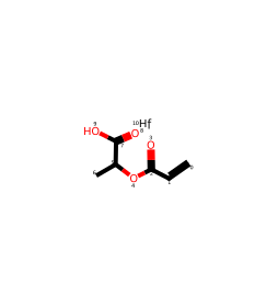 C=CC(=O)OC(C)C(=O)O.[Hf]